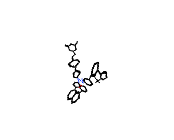 C=C1CC(C)CC(CCc2ccc(-c3ccc(N(c4ccc(-c5cccc6cccc(-c7ccccc7)c56)cc4)c4cccc(-c5cccc6c5C(C)(C)c5ccccc5-6)c4)cc3)cc2)C1